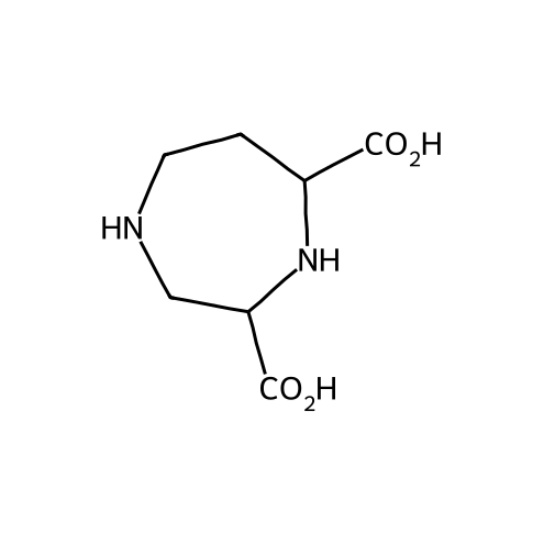 O=C(O)C1CCNCC(C(=O)O)N1